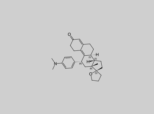 CN(C)c1ccc([C@H]2C[C@]3(C)[C@@H](CC[C@]34CCCO4)[C@@H]3CCC4=CC(=O)CCC4=C32)cc1